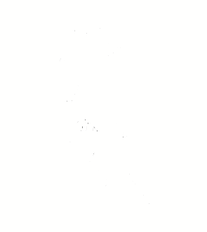 NC1C2CC(=O)CC1CN(Cc1ccccc1)C2